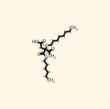 CCCCCCCCOC(CC(=O)O)(C(C)=O)C(=O)OCCCCCC